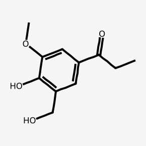 CCC(=O)c1cc(CO)c(O)c(OC)c1